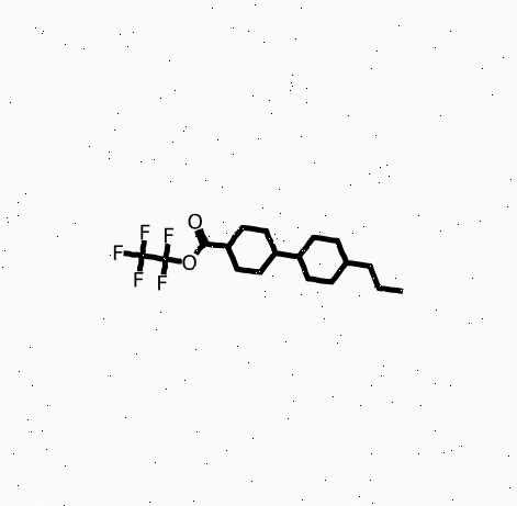 CCCC1CCC(C2CCC(C(=O)OC(F)(F)C(F)(F)F)CC2)CC1